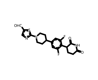 O=Cc1cnc(N2CCC(c3cc(F)c(C4CCC(=O)NC4=O)c(F)c3)CC2)s1